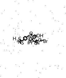 Cc1ncsc1-c1ccc(CNC(=O)[C@@H]2C[C@@H](O)CN2C(=O)C(c2cc(OCCBr)no2)C(C)C)cc1